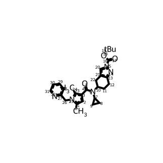 Cc1cc(C(=O)N(C2CC2)C2CCc3nn(C(=O)OC(C)(C)C)cc3C2)c(C)n1Cc1ccccn1